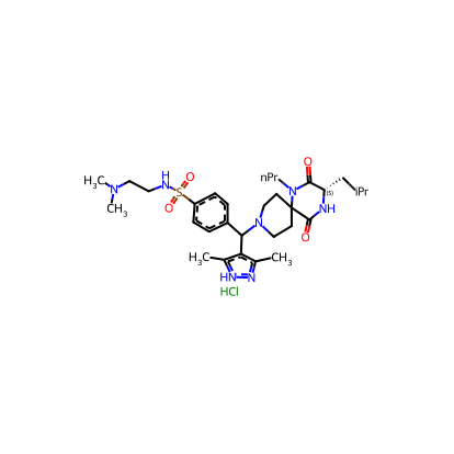 CCCN1C(=O)[C@H](CC(C)C)NC(=O)C12CCN(C(c1ccc(S(=O)(=O)NCCN(C)C)cc1)c1c(C)n[nH]c1C)CC2.Cl